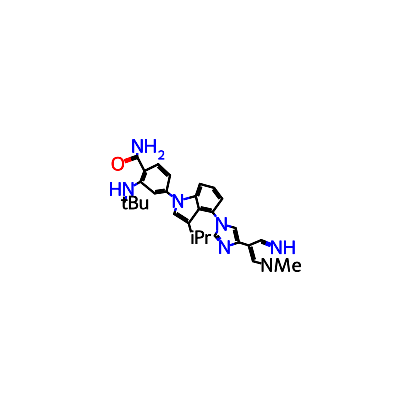 CN/C=C(\C=N)c1cn(-c2cccc3c2c(C(C)C)cn3-c2ccc(C(N)=O)c(NC(C)(C)C)c2)cn1